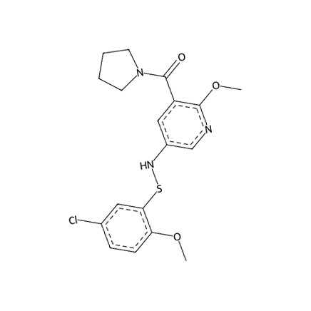 COc1ccc(Cl)cc1SNc1cnc(OC)c(C(=O)N2CCCC2)c1